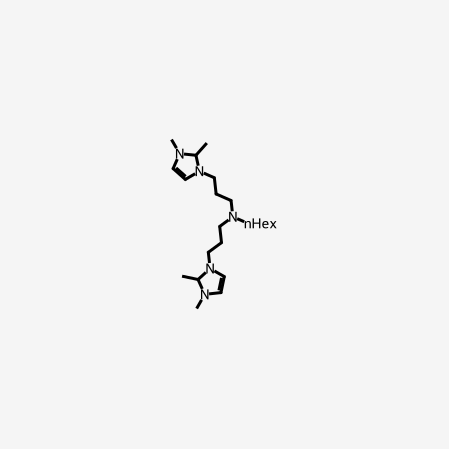 CCCCCCN(CCCN1C=CN(C)C1C)CCCN1C=CN(C)C1C